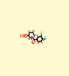 O=C(c1ccc(F)c(F)c1)N1CCCC(O)C1